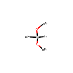 [CH2]CC[Si](CC)(OCCC)OCCC